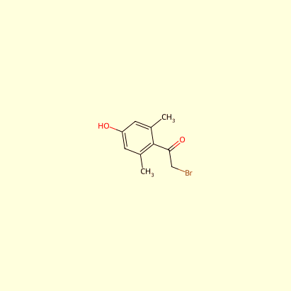 Cc1cc(O)cc(C)c1C(=O)CBr